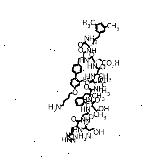 CCc1cc(OCCCCN)ccc1-c1ccc(C[C@H](NC(=O)[C@H](CC(=O)O)NC(=O)[C@H](C)NC(=O)[C@@H](NC(=O)[C@](C)(Cc2ccccc2F)NC(=O)[C@@H](NC(=O)CNC(=O)[C@H](Cc2nn[nH]n2)NC(=O)[C@@H](N)CO)[C@@H](C)O)[C@@H](C)O)C(=O)N[C@@H](CCCc2cc(C)cc(C)c2)C(N)=O)cc1